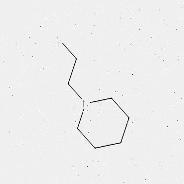 [S]CCN1CCCCC1